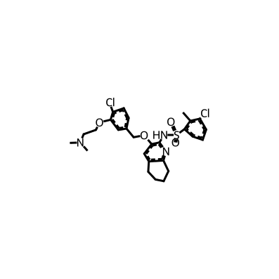 Cc1c(Cl)cccc1S(=O)(=O)Nc1nc2c(cc1OCc1ccc(Cl)c(OCCN(C)C)c1)CCCC2